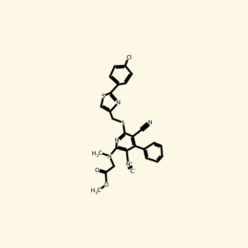 [C-]#[N+]c1c(N(C)CC(=O)OC)nc(SCc2csc(-c3ccc(Cl)cc3)n2)c(C#N)c1-c1ccccc1